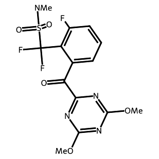 CNS(=O)(=O)C(F)(F)c1c(F)cccc1C(=O)c1nc(OC)nc(OC)n1